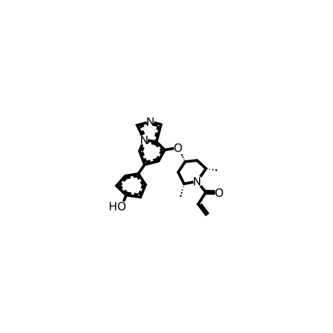 C=CC(=O)N1[C@H](C)C[C@H](Oc2cc(-c3ccc(O)cc3)cn3cncc23)C[C@@H]1C